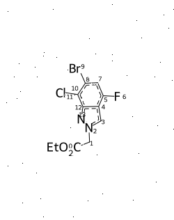 CCOC(=O)Cn1cc2c(F)cc(Br)c(Cl)c2n1